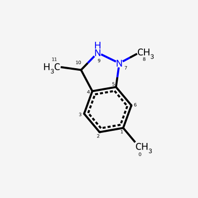 Cc1ccc2c(c1)N(C)NC2C